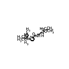 Cc1cc(Nc2cccc(C(=O)NCCCNC(=O)OC(C)(C)C)n2)n(C(C)(C)C)n1